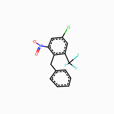 O=[N+]([O-])c1cc(Cl)cc(C(F)(F)F)c1Cc1ccccc1